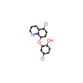 Oc1ccc(Cl)cc1Oc1ccc(Cl)c2cccnc12